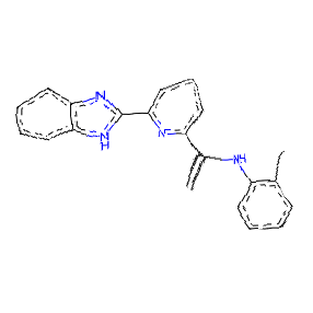 C=C(Nc1ccccc1C)c1cccc(-c2nc3ccccc3[nH]2)n1